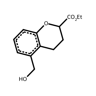 CCOC(=O)C1CCc2c(CO)cccc2O1